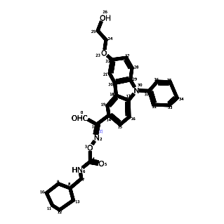 O=C/C(=N\OC(=O)NCC1CCCCC1)c1ccc2c(c1)c1cc(OCCO)ccc1n2-c1ccccc1